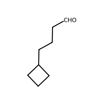 O=CCCCC1CCC1